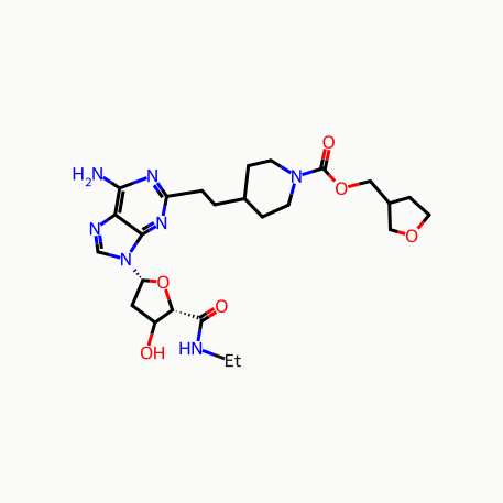 CCNC(=O)[C@H]1O[C@@H](n2cnc3c(N)nc(CCC4CCN(C(=O)OCC5CCOC5)CC4)nc32)CC1O